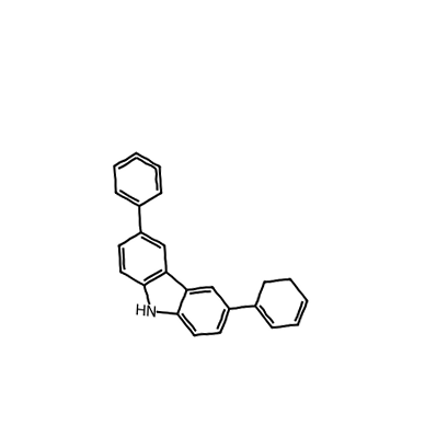 C1=C=CC(c2ccc3[nH]c4ccc(C5=CC=CCC5)cc4c3c2)=CC=1